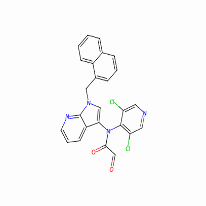 O=CC(=O)N(c1c(Cl)cncc1Cl)c1cn(Cc2cccc3ccccc23)c2ncccc12